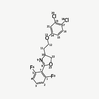 Fc1cccc(F)c1C1=NC(CCOc2ccc(Cl)c(Cl)c2)CO1